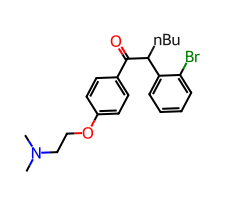 CCCCC(C(=O)c1ccc(OCCN(C)C)cc1)c1ccccc1Br